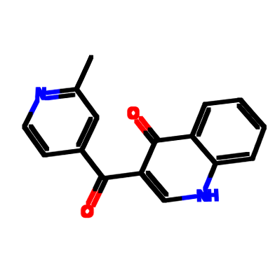 Cc1cc(C(=O)c2c[nH]c3ccccc3c2=O)ccn1